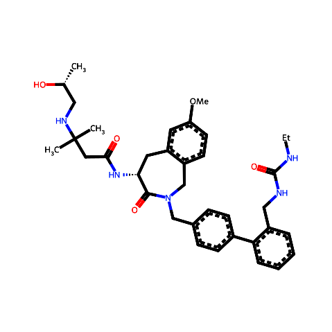 CCNC(=O)NCc1ccccc1-c1ccc(CN2Cc3ccc(OC)cc3C[C@@H](NC(=O)CC(C)(C)NC[C@@H](C)O)C2=O)cc1